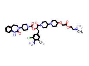 CN(C)CCOC(=O)COC1CCN(C2CCN(C(=O)[C@@H](Cc3cc(Cl)c(N)c(C(F)(F)F)c3)OC(=O)N3CCC(N4CCc5ccccc5NC4=O)CC3)CC2)CC1